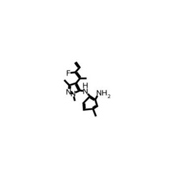 C=C/C(F)=C(\C)c1c(C)nn(C)c1Nc1ccc(C)cc1N